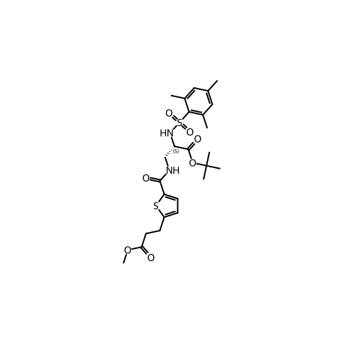 COC(=O)CCc1ccc(C(=O)NC[C@H](NS(=O)(=O)c2c(C)cc(C)cc2C)C(=O)OC(C)(C)C)s1